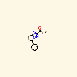 CCCC(=O)c1nc2n(n1)C(c1ccccc1)CC2